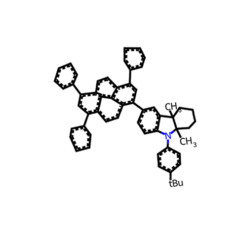 CC(C)(C)c1ccc(N2c3ccc(-c4cc(-c5ccccc5)c5ccc6c(-c7ccccc7)cc(-c7ccccc7)c7ccc4c5c67)cc3C3(C)CCCCC23C)cc1